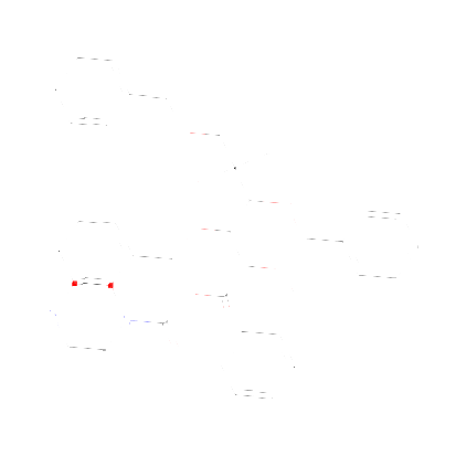 O=CC(O)(COCc1ccccc1)C(OCc1ccccc1)C(OCc1ccccc1)C(OCc1ccccc1)C(=O)OC(=O)N1CCNCC1